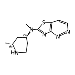 C[C@@H]1C[C@@H](N(C)c2nc3nnccc3s2)CCN1